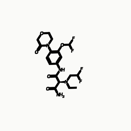 CCN(CC(F)F)[C@@H](C(N)=O)C(=O)Nc1ccc(N2CCOCC2=O)c(OC(F)F)c1